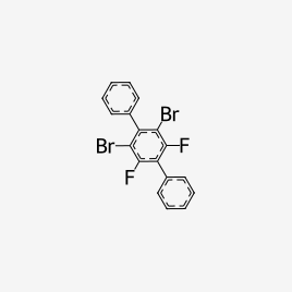 Fc1c(Br)c(-c2ccccc2)c(Br)c(F)c1-c1ccccc1